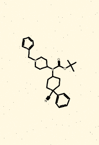 CC(C)(C)OC(=O)N(C1CCN(Cc2ccccc2)CC1)C1CCC(C#N)(c2ccccc2)CC1